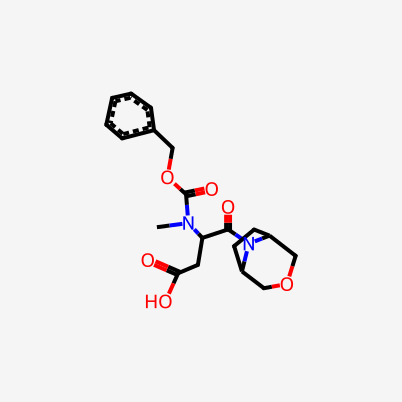 CN(C(=O)OCc1ccccc1)C(CC(=O)O)C(=O)N1C2CCC1COC2